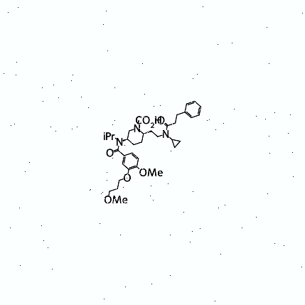 COCCCOc1cc(C(=O)N(C(C)C)[C@@H]2CC[C@H](CCN(C(=O)CCc3ccccc3)C3CC3)N(C(=O)O)C2)ccc1OC